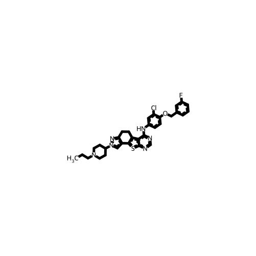 CCCN1CCC(n2cc3c(n2)CCc2c-3sc3ncnc(Nc4ccc(OCc5cccc(F)c5)c(Cl)c4)c23)CC1